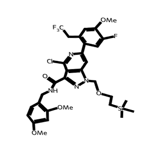 COc1ccc(CNC(=O)c2nn(COCC[Si](C)(C)C)c3cc(-c4cc(F)c(OC)cc4CC(F)(F)F)nc(Cl)c23)c(OC)c1